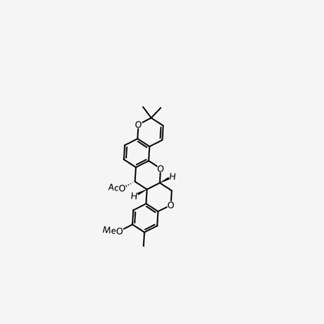 COc1cc2c(cc1C)OC[C@H]1Oc3c(ccc4c3C=CC(C)(C)O4)[C@@H](OC(C)=O)[C@@H]21